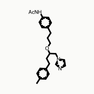 CC(=O)Nc1ccc(CCCOC(CCc2ccc(C)cc2)Cn2ccnc2)cc1